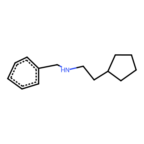 c1ccc(CNCCC2CCCC2)cc1